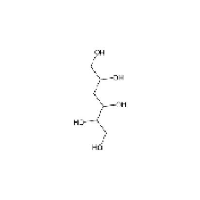 OCC(O)C[C](O)C(O)CO